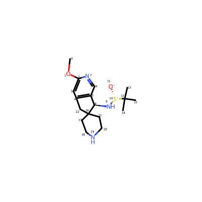 COc1cc2c(cn1)[C@@H](N[S@+]([O-])C(C)(C)C)C1(CCNCC1)C2